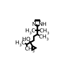 CC(CCC(O)(C(C)C)C1CC1)C(C)(C)c1ncc[nH]1